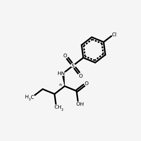 CCC(C)[C@@H](NS(=O)(=O)c1ccc(Cl)cc1)C(=O)O